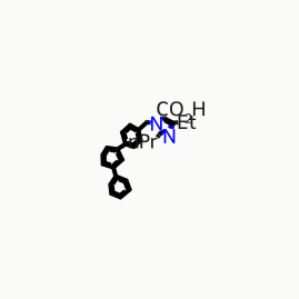 CCCc1nc(CC)c(C(=O)O)n1Cc1ccc(-c2cccc(-c3ccccc3)c2)cc1